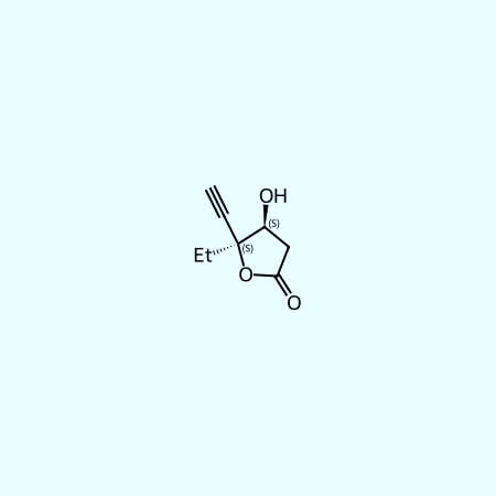 C#C[C@]1(CC)OC(=O)C[C@@H]1O